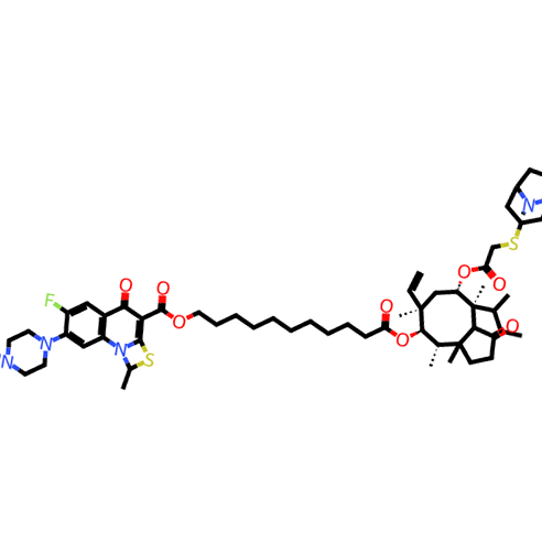 C=C[C@@]1(C)C[C@H](OC(=O)CSC2CC3CCC(C2)N3C)[C@@](C)(C(C)CC)C2C(=O)CCC2(C)[C@H](C)[C@H]1OC(=O)CCCCCCCCCCOC(=O)c1c2n(c3cc(N4CCNCC4)c(F)cc3c1=O)C(C)S2